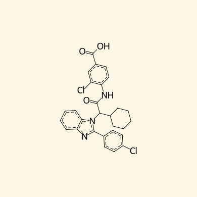 O=C(O)c1ccc(NC(=O)C(C2CCCCC2)n2c(-c3ccc(Cl)cc3)nc3ccccc32)c(Cl)c1